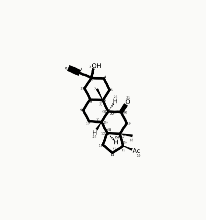 C#CC1(O)CC[C@@]2(C)C(CC[C@H]3[C@@H]4CC[C@H](C(C)=O)[C@@]4(C)CC(=O)[C@@H]32)C1